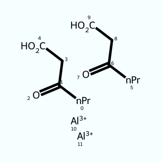 CCCC(=O)CC(=O)O.CCCC(=O)CC(=O)O.[Al+3].[Al+3]